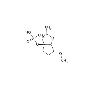 BC1C[C@@]2(OP(C)(=O)O)CC[C@@H](OC)C2O1